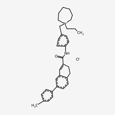 CCC[N+]1(Cc2ccc(NC(=O)C3=Cc4cc(-c5ccc(C)cc5)ccc4CC3)cc2)CCCCCC1.[Cl-]